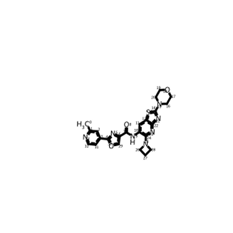 Cc1cc(-c2nc(C(=O)Nc3cc4sc(N5CCOCC5)nc4nc3N3CCC3)co2)ccn1